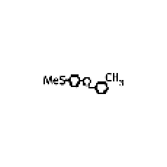 CSc1ccc(OCc2cccc(C)c2)cc1